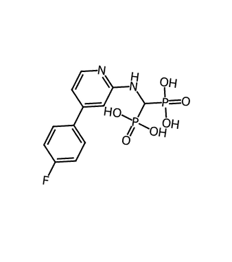 O=P(O)(O)C(Nc1cc(-c2ccc(F)cc2)ccn1)P(=O)(O)O